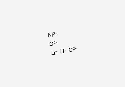 [Li+].[Li+].[Ni+2].[O-2].[O-2]